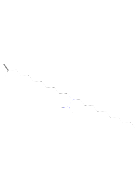 C=C(C)CCCCCCCCCN(CCCCCCCCCC)N(C)C